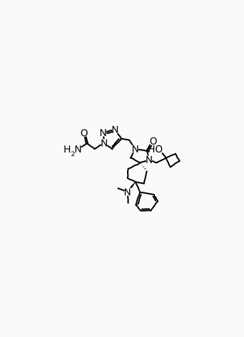 CN(C)[C@]1(c2ccccc2)CC[C@]2(CC1)CN(Cc1cn(CC(N)=O)nn1)C(=O)N2CC1(O)CCC1